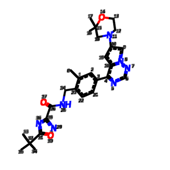 Cc1cc(-c2ncnn3cc(N4CCOC(C)(C)C4)cc23)ccc1CNC(=O)c1noc(C(C)(C)C)n1